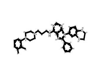 Cc1cccc(N2CCN(CCCNc3ncnc4c3nc(-c3ccccc3)n4-c3ccc4c(c3)OCCO4)CC2)c1C